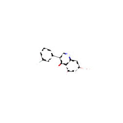 O=c1c(-c2cccc(Br)c2)c[nH]c2cc(O)cc(O)c12